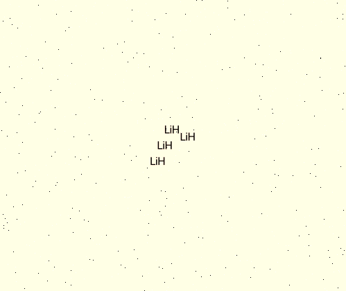 [LiH].[LiH].[LiH].[LiH]